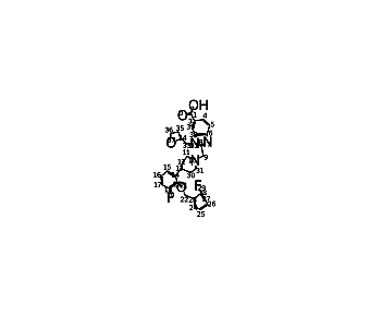 O=C(O)c1ccc2nc(CN3CCC(c4cccc(F)c4OCc4ccccc4F)CC3)n(CC3CCO3)c2c1